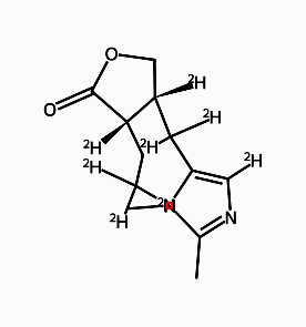 [2H]c1nc(C)n(C)c1C([2H])([2H])[C@@]1([2H])COC(=O)[C@@]1([2H])CC([2H])([2H])[2H]